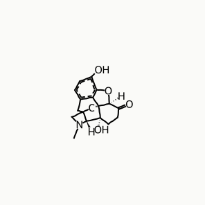 CN1CC23Cc4ccc(O)c5c4[C@@]4(C2)[C@@H](O5)C(=O)CC[C@@]4(O)[C@H]13